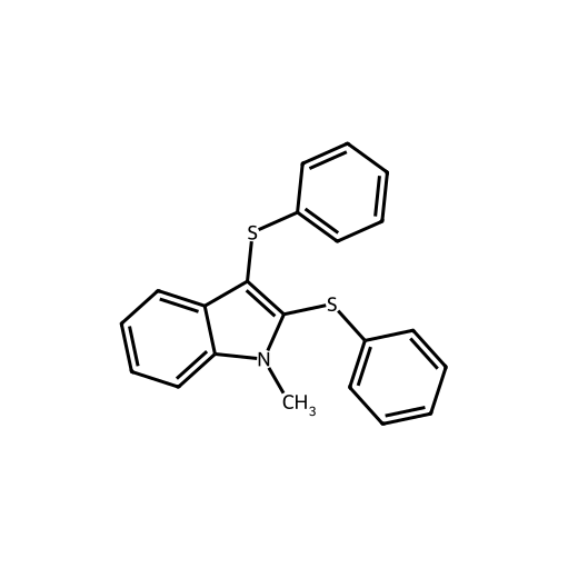 Cn1c(Sc2ccccc2)c(Sc2ccccc2)c2ccccc21